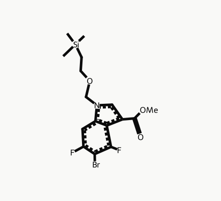 COC(=O)c1cn(COCC[Si](C)(C)C)c2cc(F)c(Br)c(F)c12